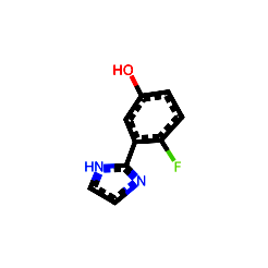 Oc1ccc(F)c(-c2ncc[nH]2)c1